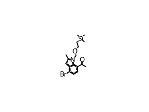 CC(=O)c1ccc(Br)c2cc(C)n(COCC[Si](C)(C)C)c12